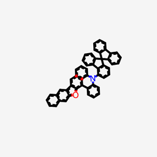 c1ccc(N(c2ccccc2-c2cccc3c2oc2cc4ccccc4cc23)c2cccc3c2-c2ccccc2C32c3ccccc3-c3ccccc32)cc1